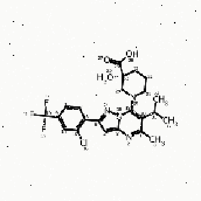 Cc1nc2cc(-c3ccc(C(F)(F)F)cc3Cl)nn2c(N2CCC[C@](C)(C(=O)O)C2)c1C(C)C